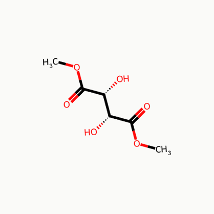 COC(=O)[C@H](O)[C@@H](O)C(=O)OC